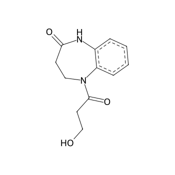 O=C1CCN(C(=O)CCO)c2ccccc2N1